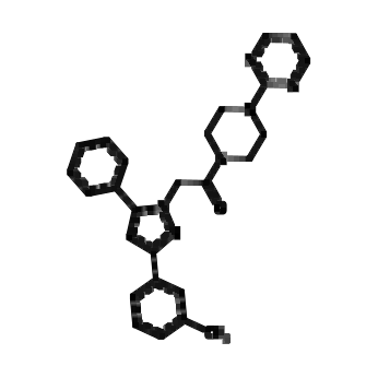 Cc1cccc(-c2cc(-c3ccccc3)n(CC(=O)N3CCN(c4ncccn4)CC3)n2)c1